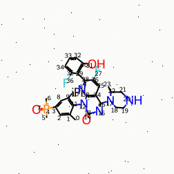 Cc1cc(P(C)(C)=O)cc(C(C)C)c1-n1c(=O)nc(N2CCNCC2C)c2cc(F)c(-c3c(O)cccc3F)nc21